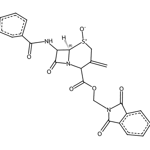 C=C1C[S+]([O-])[C@@H]2C(NC(=O)c3ccccc3)C(=O)N2C1C(=O)OCN1C(=O)c2ccccc2C1=O